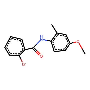 COc1ccc(NC(=O)c2ccccc2Br)c(C)c1